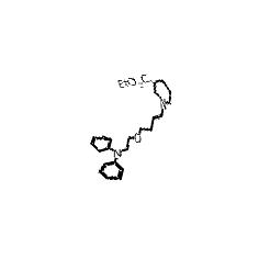 CCOC(=O)[C@@H]1CCCN(CCCCOCCN(c2ccccc2)c2ccccc2)C1